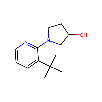 CC(C)(C)c1cccnc1N1CCC(O)C1